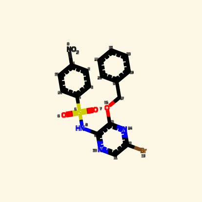 O=[N+]([O-])c1ccc(S(=O)(=O)Nc2ncc(Br)nc2OCc2ccccc2)cc1